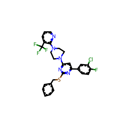 Fc1ccc(-c2cc(N3CCN(c4ncccc4C(F)(F)F)CC3)nc(SCc3ccccc3)n2)cc1Cl